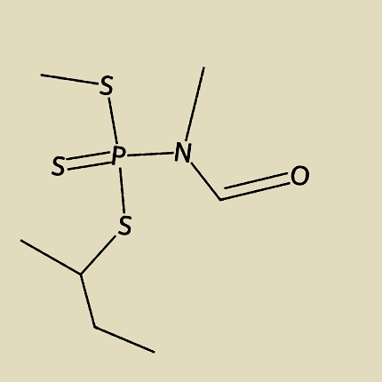 CCC(C)SP(=S)(SC)N(C)C=O